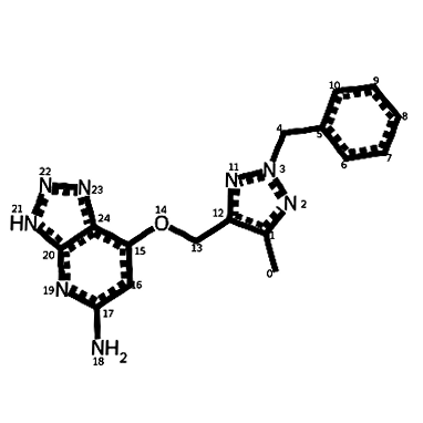 Cc1nn(Cc2ccccc2)nc1COc1cc(N)nc2[nH]nnc12